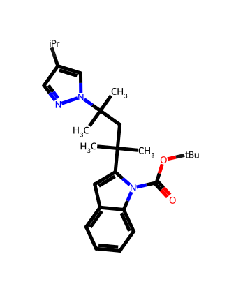 CC(C)c1cnn(C(C)(C)CC(C)(C)c2cc3ccccc3n2C(=O)OC(C)(C)C)c1